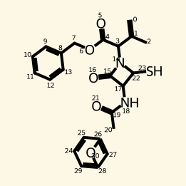 C=C(C)C(C(=O)OCc1ccccc1)N1C(=O)C(NC(C)=O)C1S.c1cc2cc(c1)O2